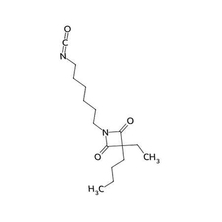 CCCCC1(CC)C(=O)N(CCCCCCN=C=O)C1=O